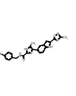 Cc1noc(-c2cc3cc(-c4nc(C(=O)NCc5ccc(N)cc5)[nH]c4C)ccc3[nH]2)n1